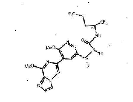 CCN(C(=O)N[C@@H](CCC(F)(F)F)C(F)(F)F)[C@H](C)c1cc(-c2cn3ccnc3c(OC)n2)c(OC)nn1